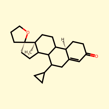 C[C@]12CCC3C(C(C4CC4)CC4=CC(=O)CC[C@@H]43)C1CC[C@@]21CCCO1